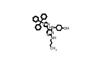 CCCCNc1ncc(-c2cn(C(c3ccccc3)(c3ccccc3)c3ccccc3)cn2)c(NC2CCC(O)CC2)n1